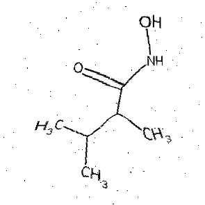 CC(C)C(C)C(=O)NO